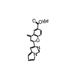 C=C1C=C(c2cc3cccn3cn2)Oc2ccc(C(=O)OC)cc21